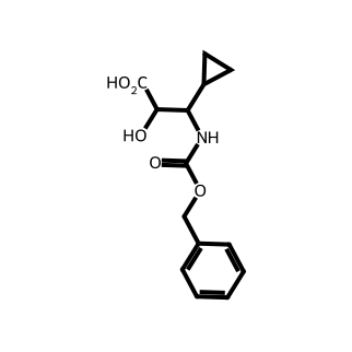 O=C(NC(C1CC1)C(O)C(=O)O)OCc1ccccc1